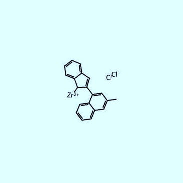 Cc1cc(C2=Cc3ccccc3[CH]2[Zr+2])c2ccccc2c1.[Cl-].[Cl-]